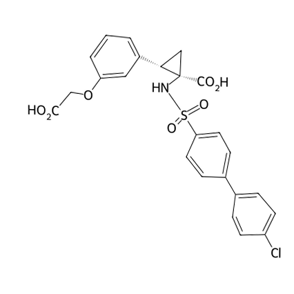 O=C(O)COc1cccc([C@@H]2C[C@]2(NS(=O)(=O)c2ccc(-c3ccc(Cl)cc3)cc2)C(=O)O)c1